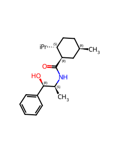 CC(C)[C@@H]1CC[C@@H](C)C[C@H]1C(=O)N[C@@H](C)[C@H](O)c1ccccc1